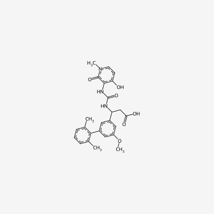 COc1cc(-c2c(C)cccc2C)cc(C(CC(=O)O)NC(=O)Nc2c(O)ccn(C)c2=O)c1